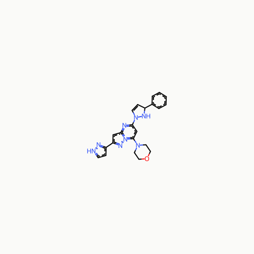 C1=CN(c2cc(N3CCOCC3)n3nc(-c4cc[nH]n4)cc3n2)NC1c1ccccc1